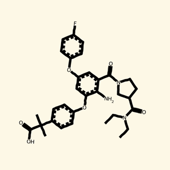 CCN(CC)C(=O)C1CCN(C(=O)c2cc(Oc3ccc(F)cc3)cc(Oc3ccc(C(C)(C)C(=O)O)cc3)c2N)C1